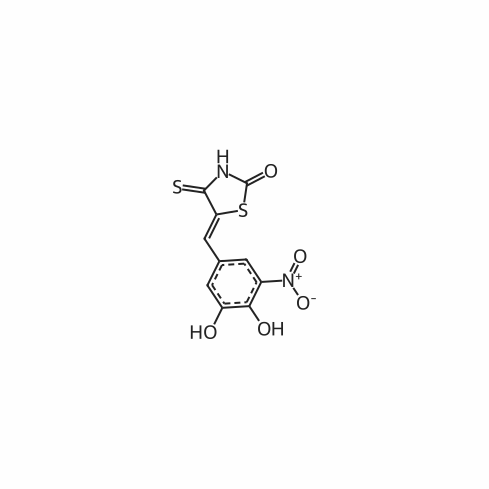 O=C1NC(=S)C(=Cc2cc(O)c(O)c([N+](=O)[O-])c2)S1